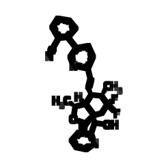 C[C@H]1OC(=O)[C@]2(C(O)c3ccccn3)CC(F)(F)[C@@H](C)[C@H](/C=C/c3ccc(-c4ccccc4C#N)cn3)[C@H]12